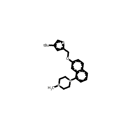 CN1CCN(c2cccc3ccc(OCc4cc(C(C)(C)C)cs4)cc23)CC1